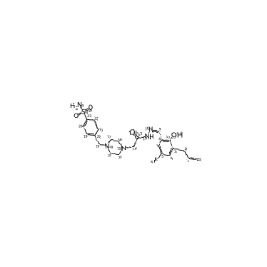 C=CCc1cc(F)cc(/C=N\NC(=O)CN2CCN(Cc3ccc(S(N)(=O)=O)cc3)CC2)c1O